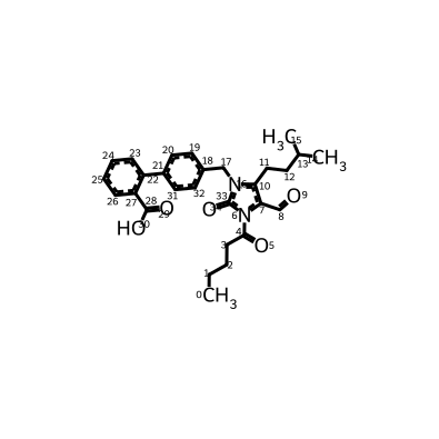 CCCCC(=O)n1c(C=O)c(CCC(C)C)n(Cc2ccc(-c3ccccc3C(=O)O)cc2)c1=O